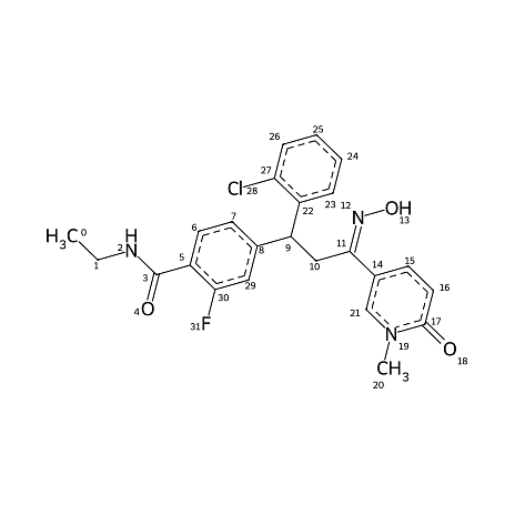 CCNC(=O)c1ccc(C(C/C(=N/O)c2ccc(=O)n(C)c2)c2ccccc2Cl)cc1F